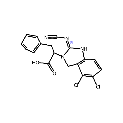 N#C/N=C1/Nc2ccc(Cl)c(Cl)c2CN1C(Cc1ccccc1)C(=O)O